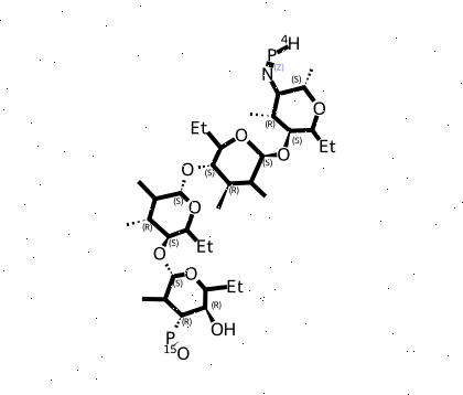 [4H]/P=N\C1[C@H](C)OC(CC)[C@@H](O[C@@H]2OC(CC)[C@@H](O[C@@H]3OC(CC)[C@@H](O[C@@H]4OC(CC)[C@@H](O)[C@H](P=[15O])C4C)[C@H](C)C3C)[C@H](C)C2C)[C@@H]1C